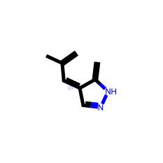 C=C(C)/C=c1/cn[nH]c1=C